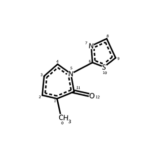 Cc1cccn(-c2nccs2)c1=O